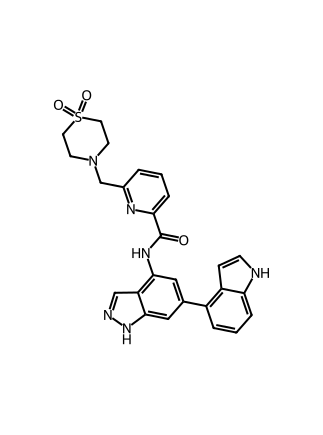 O=C(Nc1cc(-c2cccc3[nH]ccc23)cc2[nH]ncc12)c1cccc(CN2CCS(=O)(=O)CC2)n1